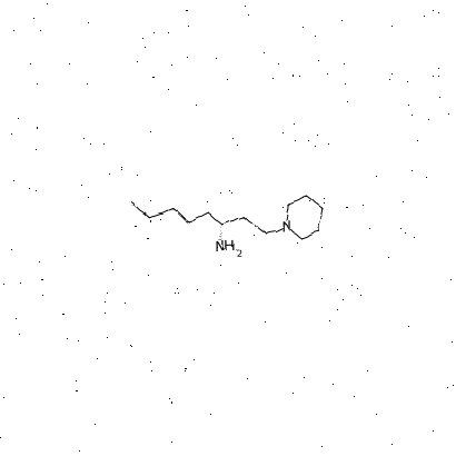 CCCCC[C@@H](N)CCN1CCCCC1